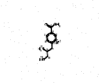 Cl.NC(=O)c1ccc(CC(N)CO)cc1